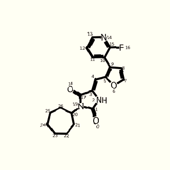 O=C1N/C(=C\c2occc2-c2cccnc2F)C(=O)N1C1CCCCCC1